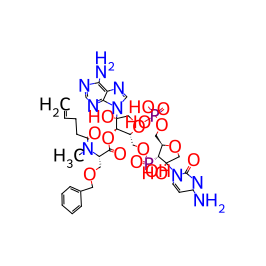 C=CCCC(=O)N(C)[C@@H](COCc1ccccc1)C(=O)O[C@@H]1[C@@H](COP(=O)(O)[C@@H]2[C@@H](COP(=O)(O)O)OC[C@]2(O)n2ccc(N)nc2=O)OC[C@]1(O)n1cnc2c(N)ncnc21